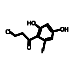 O=C(CCCl)c1c(O)cc(O)cc1F